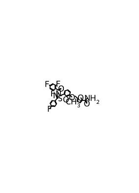 COc1c(OCc2ccc(C(N)=O)o2)cccc1C1SC(c2ccc(F)cc2)=NN1C(=O)c1c(F)cc(F)cc1F